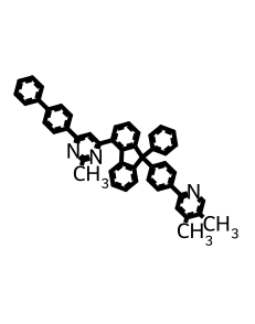 Cc1nc(-c2ccc(-c3ccccc3)cc2)cc(-c2cccc3c2-c2ccccc2C3(c2ccccc2)c2ccc(-c3cc(C)c(C)cn3)cc2)n1